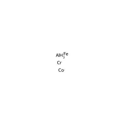 [AlH3].[Co].[Cr].[Fe]